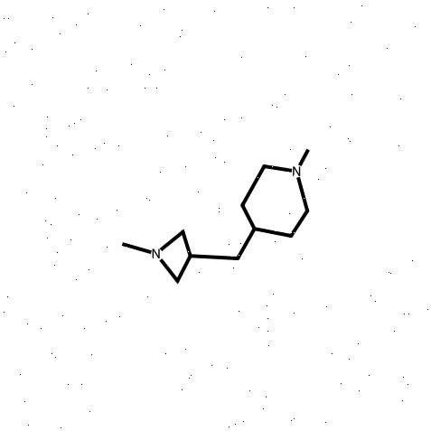 CN1CCC(CC2CN(C)C2)CC1